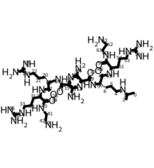 CC(C)NCCC[C@H](NC(=O)c1nc(N)c(C(=O)N[C@@H](CCCNC(=N)N)C(=O)NC(CCCNC(=N)N)C(=O)NCCN)nc1N)C(=O)NC(CCCNC(=N)N)C(=O)NCCN